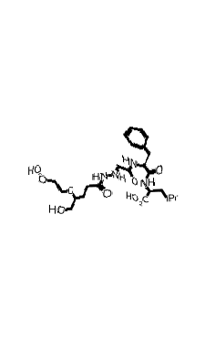 CC(C)CC(NC(=O)[C@H](Cc1ccccc1)NC(=O)CNNC(=O)CCC(CO)OCCOO)C(=O)O